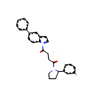 O=C([C@H](O)[C@@H](O)C(=O)n1ccc2cc(-c3ccccc3)ccc21)N1CCCC1c1cccc(Cl)c1